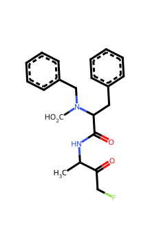 CC(NC(=O)C(Cc1ccccc1)N(Cc1ccccc1)C(=O)O)C(=O)CF